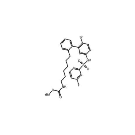 CC(C)(C)OC(=O)NCCCCCCc1ccccc1-c1nc(NS(=O)(=O)c2cccc(F)n2)ncc1Br